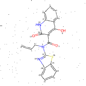 C=CCN(C(=O)c1c(O)c2ccccc2[nH]c1=O)c1nc2ccccc2s1